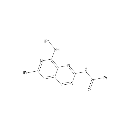 CC(C)Nc1nc(C(C)C)cc2cnc(NC(=O)C(C)C)nc12